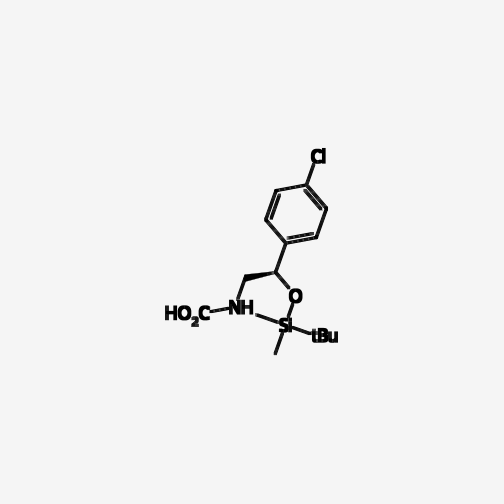 CC(C)(C)[Si](C)(C)O[C@@H](CNC(=O)O)c1ccc(Cl)cc1